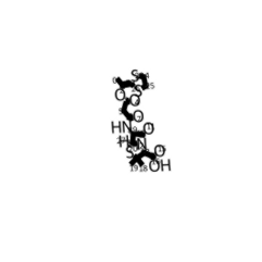 CC(OC(=O)CC(=O)N[C@@H]1C(=O)N2C(C(=O)O)C(C)(C)S[C@@H]12)=C1SCCS1